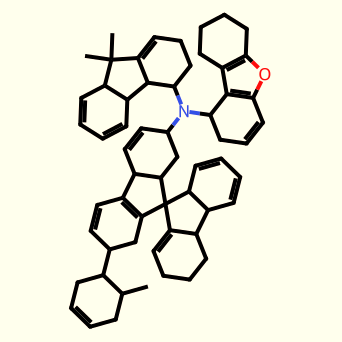 CC1CC=CCC1C1C=CC2=C(C1)C1(C3=CCCCC3C3C=CC=CC31)C1CC(N(C3CC=Cc4oc5c(c43)CCCC5)C3CCC=C4C3C3C=CC=CC3C4(C)C)C=CC21